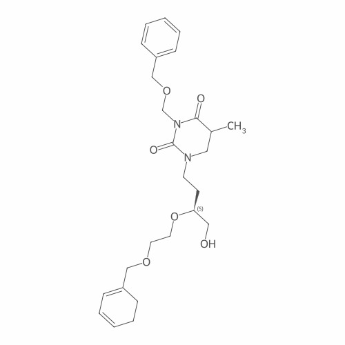 CC1CN(CC[C@@H](CO)OCCOCC2=CC=CCC2)C(=O)N(COCc2ccccc2)C1=O